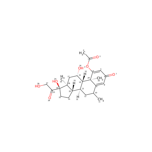 CC(=O)OC1=CC(=O)C=C2C(C)C[C@@H]3[C@H]([C@@H](O)C[C@@]4(C)[C@H]3CC[C@]4(O)C(=O)CO)[C@@]12C